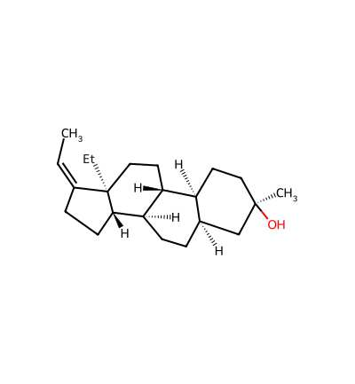 C/C=C1/CC[C@H]2[C@@H]3CC[C@@H]4C[C@](C)(O)CC[C@@H]4[C@H]3CC[C@]12CC